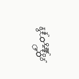 Cc1ccc(N2CCCCC2)c(CNC(N)=NC(=O)c2ccc(CC(N)C(=O)O)cc2)c1Cl